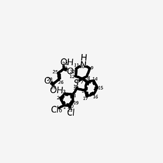 Clc1ccc(C2SC3(CCNCC3)c3ccccc32)cc1Cl.O=C(O)C=CC(=O)O